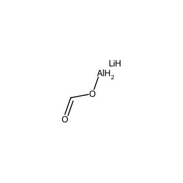 O=C[O][AlH2].[LiH]